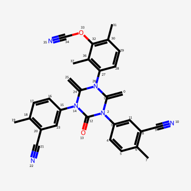 C=C1N(c2ccc(C)c(C#N)c2)C(=O)N(c2ccc(C)c(C#N)c2)C(=C)N1c1ccc(C)c(OC#N)c1C